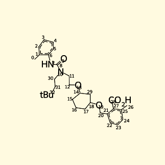 Cc1ccccc1NC(=O)N(CCOC1CCCC(OCc2cccc(C)c2C(=O)O)C1)CCC(C)(C)C